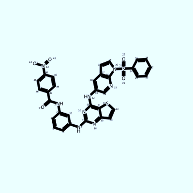 O=C(Nc1cccc(Nc2nc(Nc3cnc4c(ccn4S(=O)(=O)c4ccccc4)c3)c3sccc3n2)c1)c1ccc([N+](=O)[O-])cc1